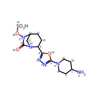 NC1CCN(c2nnc(C3CCC4CN3C(=O)N4OS(=O)(=O)O)o2)CC1